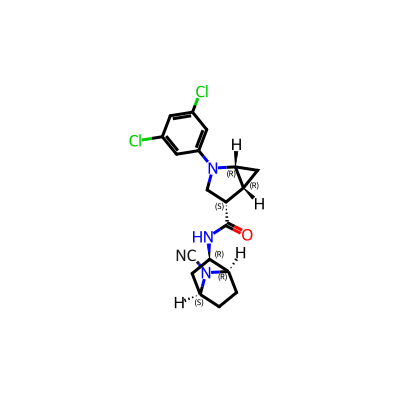 N#CN1[C@H]2CC[C@@H]1[C@H](NC(=O)[C@@H]1CN(c3cc(Cl)cc(Cl)c3)[C@@H]3C[C@@H]31)C2